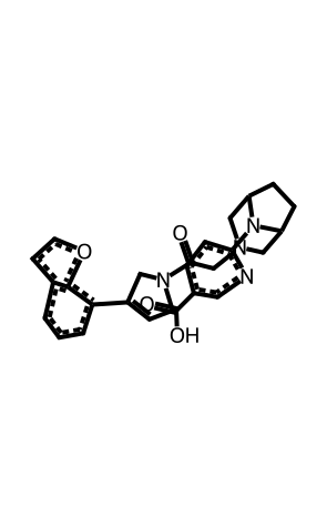 O=C(O)c1ccc(N2C3CCC2CN(CC(=O)N2CC=C(c4cccc5ccoc45)C2)C3)nc1